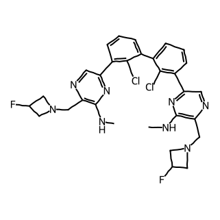 CNc1nc(-c2cccc(-c3cccc(-c4cnc(CN5CC(F)C5)c(NC)n4)c3Cl)c2Cl)cnc1CN1CC(F)C1